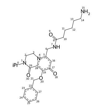 CC(C)N1CCn2c(CNC(=O)CCCCCN)cc(=O)c(OCc3ccccc3)c2C1=O